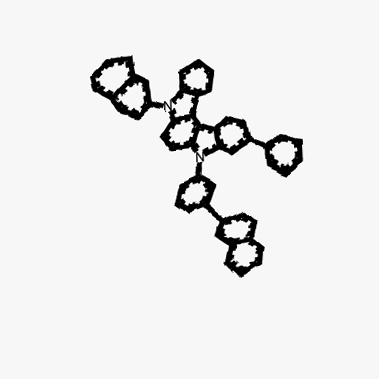 c1ccc(-c2ccc3c4c5c6ccccc6n(-c6ccc7ccccc7c6)c5ccc4n(-c4cccc(-c5ccc6ccccc6c5)c4)c3c2)cc1